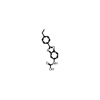 CCc1ccc(-c2nc3cc(NC(=O)O)ccc3o2)cc1